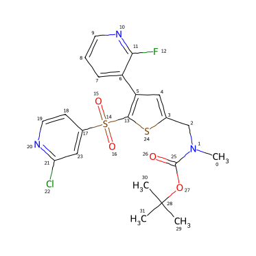 CN(Cc1cc(-c2cccnc2F)c(S(=O)(=O)c2ccnc(Cl)c2)s1)C(=O)OC(C)(C)C